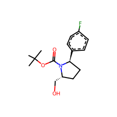 CC(C)(C)OC(=O)N1[C@@H](CO)CC[C@@H]1c1ccc(F)cc1